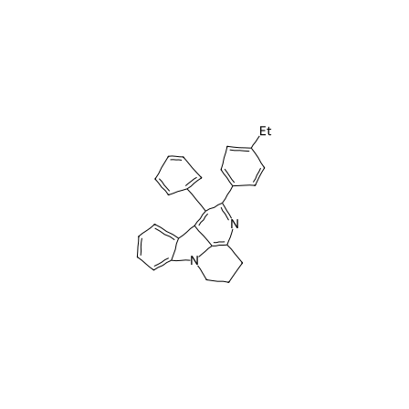 CCc1ccc(-c2nc3c4c(c2-c2ccccc2)c2ccccc2n4CCC3)cc1